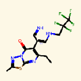 CCc1nc2sc(C)nn2c(=O)c1/C(C=N)=C/NCC(F)(F)C(F)(F)F